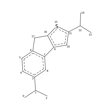 CC(C)c1ccc2c(c1)-c1cc(C(C)C)sc1C2